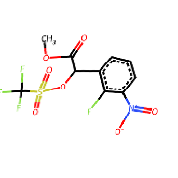 COC(=O)C(OS(=O)(=O)C(F)(F)F)c1cccc([N+](=O)[O-])c1F